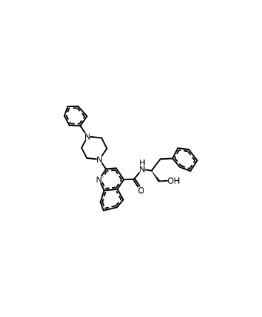 O=C(N[C@H](CO)Cc1ccccc1)c1cc(N2CCN(c3ccccc3)CC2)nc2ccccc12